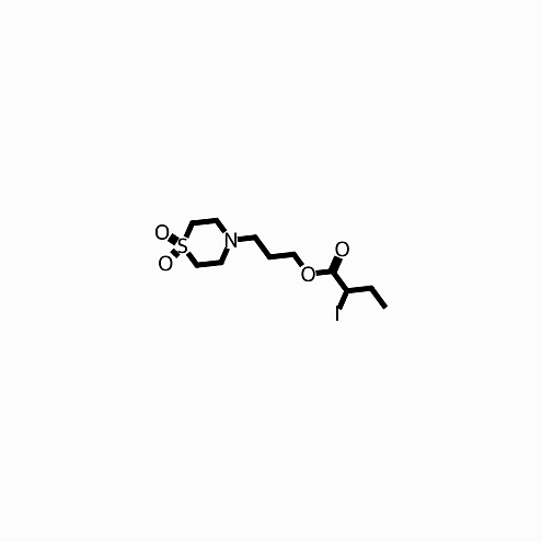 CCC(I)C(=O)OCCCN1CCS(=O)(=O)CC1